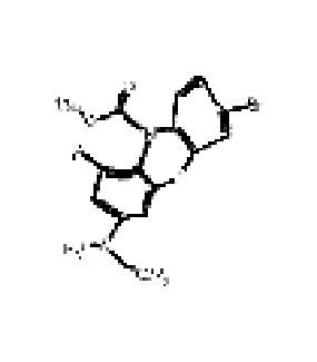 CN(C)c1cc(F)c2c(c1)Sc1cc(Br)ccc1N2C(=O)OC(C)(C)C